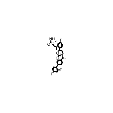 C[C@@H](c1ccc(-c2ccc(F)cc2F)cc1)N1CC[C@](CCCOC(N)=O)(c2ccc(F)cc2)OC1=O